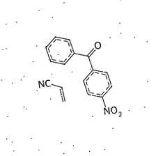 C=CC#N.O=C(c1ccccc1)c1ccc([N+](=O)[O-])cc1